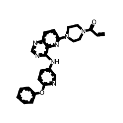 C=CC(=O)N1CCN(c2ccc3ncnc(Nc4ccc(Oc5ccccc5)nc4)c3n2)CC1